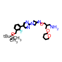 CC(C)(C)[Si](C)(C)OCc1cccc(-c2cnc(N3CC(=NOCC(CN)COC4CCCCO4)C3)nc2)c1F